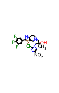 C[C@](O)(CN1CCc2nc(-c3cc(F)c(F)c(F)c3)sc2C1)Cn1cc([N+](=O)[O-])nc1Cl